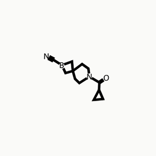 N#CB1CC2(CCN(C(=O)C3CC3)CC2)C1